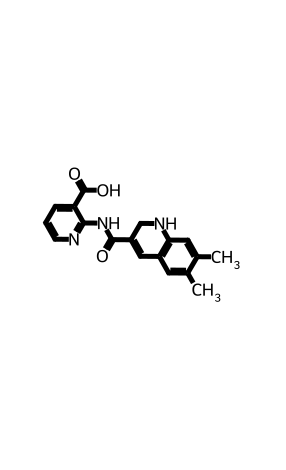 Cc1cc2c(cc1C)NCC(C(=O)Nc1ncccc1C(=O)O)=C2